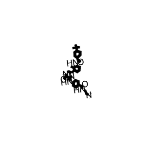 Cc1c(NC(=O)c2ccc(C(C)(C)C)cc2)cccc1-c1cn(C)c(=O)c(Nc2ccc(C(=O)NCCN(C)C)cc2)n1